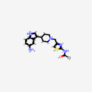 CCC(=O)Nc1nc(CN2CCC(c3c[nH]c4ccc(N)cc34)CC2)cs1